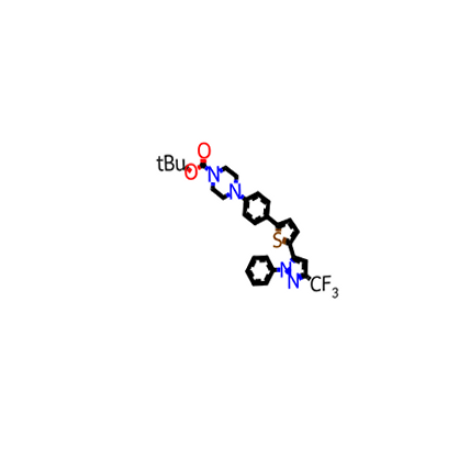 CC(C)(C)OC(=O)N1CCN(c2ccc(-c3ccc(-c4cc(C(F)(F)F)nn4-c4ccccc4)s3)cc2)CC1